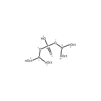 CCCCCCCCN(CCCCCCCC)OP(=O)(O)ON(CCCCCCCC)CCCCCCCC